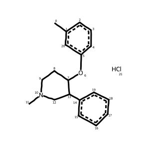 Cc1cccc(OC2CCN(C)CC2c2ccccc2)c1.Cl